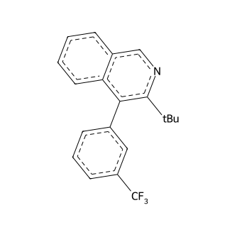 CC(C)(C)c1ncc2ccccc2c1-c1cccc(C(F)(F)F)c1